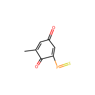 CC1=CC(=O)C=C(P=S)C1=O